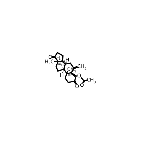 C=C1C[C@@H]2[C@H](CC[C@]3(C)C(=O)CC[C@@H]23)[C@@]2(C)CCC(=O)C(OC(C)=O)=C12